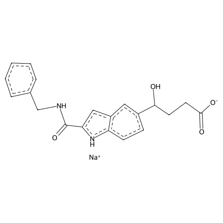 O=C([O-])CCC(O)c1ccc2[nH]c(C(=O)NCc3ccccc3)cc2c1.[Na+]